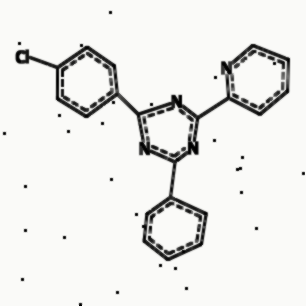 Clc1ccc(-c2nc(-c3ccccc3)nc(-c3ccccn3)n2)cc1